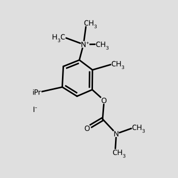 Cc1c(OC(=O)N(C)C)cc(C(C)C)cc1[N+](C)(C)C.[I-]